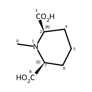 CN1[C@@H](C(=O)O)CCC[C@H]1C(=O)O